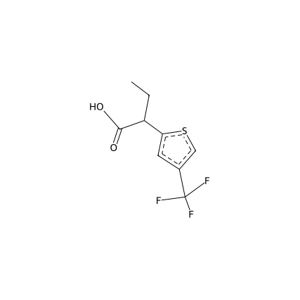 CCC(C(=O)O)c1cc(C(F)(F)F)cs1